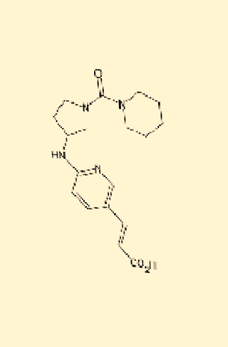 O=C(O)/C=C/c1ccc(NC2CCN(C(=O)N3CCCCC3)C2)nc1